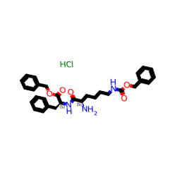 Cl.N[C@@H](CCCCNC(=O)OCc1ccccc1)C(=O)N[C@@H](Cc1ccccc1)C(=O)OCc1ccccc1